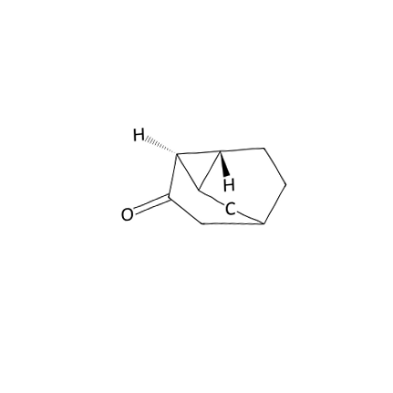 O=C1CC2CC[C@@H]3C(C2)[C@@H]13